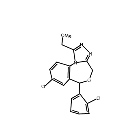 COCc1nnc2n1-c1ccc(Cl)cc1C(c1ccccc1Cl)OC2